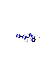 CCCc1nc(-c2cncnc2)cnc1Cc1ccnn1-c1ncccc1C#N